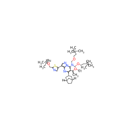 C=C(OCC)c1c([C@H]2C[C@@H]3CC[C@@H](C3)C2)nc2c(-c3cnc(CO[Si](C)(C)C(C)(C)C)s3)cnn2c1N(COCC[Si](C)(C)C)COCC[Si](C)(C)C